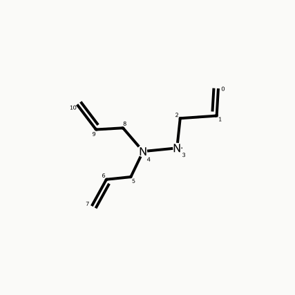 C=CC[N]N(CC=C)CC=C